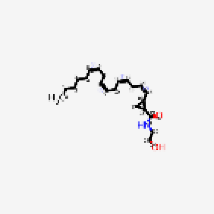 CCCCC/C=C\C/C=C\C/C=C\C/C=C\C1CC1C(=O)NCCO